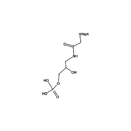 CCCCCCCCC(=O)NCC(O)COP(=O)(O)O